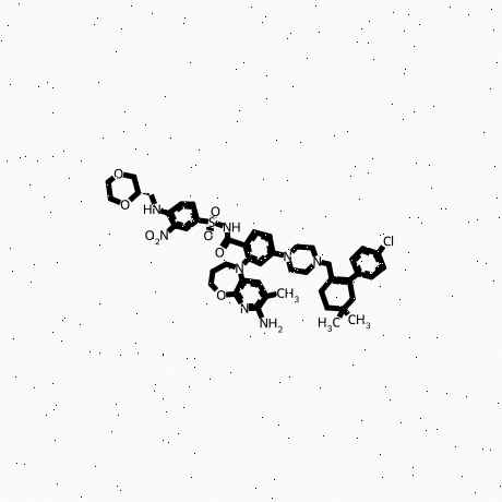 Cc1cc2c(nc1N)OCCCN2c1cc(N2CCN(CC3=C(c4ccc(Cl)cc4)CC(C)(C)CC3)CC2)ccc1C(=O)NS(=O)(=O)c1ccc(NC[C@H]2COCCO2)c([N+](=O)[O-])c1